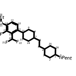 CCCCCC1CCC(CCC2CCC(c3ccc(OCC)c(F)c3C(F)F)CC2)CC1